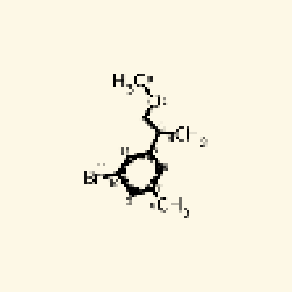 COC[C](C)c1cc(C)cc(Br)c1